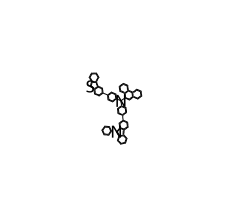 c1ccc(-n2c3ccccc3c3ccc(-c4ccc(N(c5ccc(-c6ccc7sc8ccccc8c7c6)cc5)c5cc6ccccc6c6ccccc56)cc4)cc32)cc1